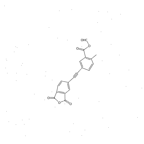 Cc1ccc(C#Cc2ccc3c(c2)C(=O)OC3=O)cc1C(=O)OC=O